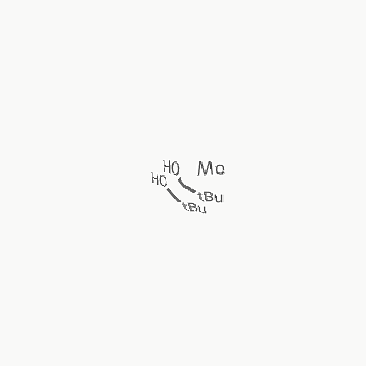 CC(C)(C)O.CC(C)(C)O.[Mo]